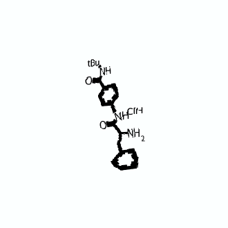 CC(C)(C)NC(=O)c1ccc(NC(=O)[C@@H](N)Cc2ccccc2)cc1.Cl